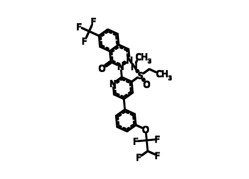 CCS(=O)(=NC)c1cc(-c2cccc(OC(F)(F)C(F)F)c2)cnc1-n1ncc2ccc(C(F)(F)F)cc2c1=O